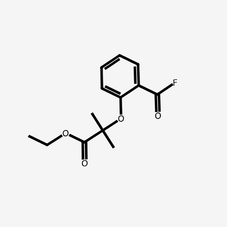 CCOC(=O)C(C)(C)Oc1ccccc1C(=O)F